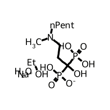 CCCCCN(C)CCC(O)(P(=O)([O-])O)P(=O)(O)O.CCO.O.[Na+]